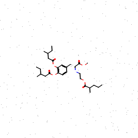 CCCC(C)C(=O)OCCN[C@@H](Cc1ccc(OC(=O)CC(C)CC)c(OC(=O)CC(C)CC)c1)C(=O)OC